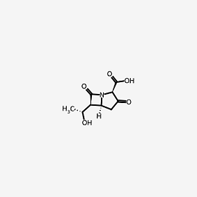 C[C@@H](O)[C@H]1C(=O)N2[C@@H](C(=O)O)C(=O)C[C@@H]12